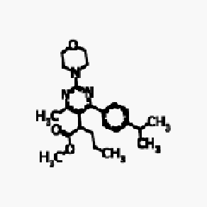 CCCC(C(=O)OC)c1c(C)nc(N2CCOCC2)nc1-c1ccc(C(C)C)cc1